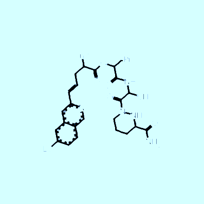 CCCC(C/C=C/c1cc2cc(CC)ccc2cn1)C(=O)OC(C(=O)NC(C)C(=O)N1CCCC(C(N)=O)N1)C(C)C